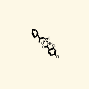 C/C(=C\S(=O)(=O)NC(=O)c1ccc(Cl)cc1Cl)c1ccccc1